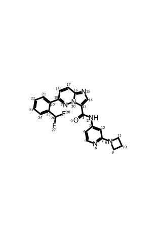 O=C(Nc1ccnc(N2CCC2)c1)c1cnc2ccc(-c3ccccc3C(F)F)nn12